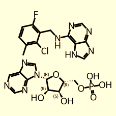 Cc1ccc(F)c(CNc2ncnc3nc[nH]c23)c1Cl.O=P(O)(O)OC[C@H]1O[C@@H](n2cnc3cncnc32)[C@H](O)[C@@H]1O